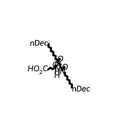 CCCCCCCCCCCCCCCCCCNC(=O)C(COC(=O)CCCCCCCCCCCCCCCCCC)NC(=O)CCCC(=O)O